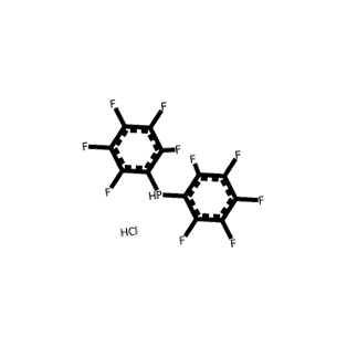 Cl.Fc1c(F)c(F)c(Pc2c(F)c(F)c(F)c(F)c2F)c(F)c1F